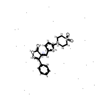 O=C1ON=C(c2ccccc2)/C1=C/c1ccc(N2CCS(=O)(=O)CC2)s1